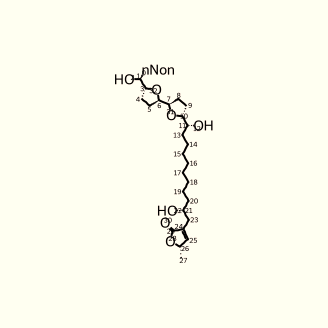 CCCCCCCCC[C@H](O)[C@H]1CC[C@H]([C@H]2CC[C@H]([C@H](O)CCCCCCCC[C@@H](O)CC3=C[C@H](C)OC3=O)O2)O1